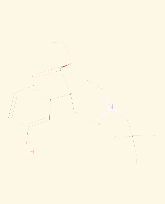 COC(=O)C1(c2cccc(O)c2)CCN(CC(F)(F)F)CC1